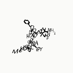 COC(=O)COP(=O)(N[C@@H](CC(C)C)C(=O)O)OC[C@H]1O[C@@H](n2cnc3c(N)nc(F)nc32)[C@@H](OC(=O)OCc2ccccc2)[C@@H]1O